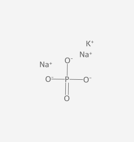 O=P([O-])([O-])[O-].[K+].[Na+].[Na+]